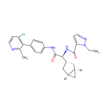 CCn1nccc1C(=O)N[C@H](C(=O)Nc1ccc(-c2c(Cl)ccnc2C)cc1)[C@@H]1C[C@H]2C[C@H]2C1